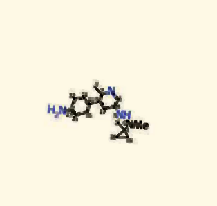 CNC1(CNc2cnc(C)c(-c3ccc(N)cc3)c2)CC1